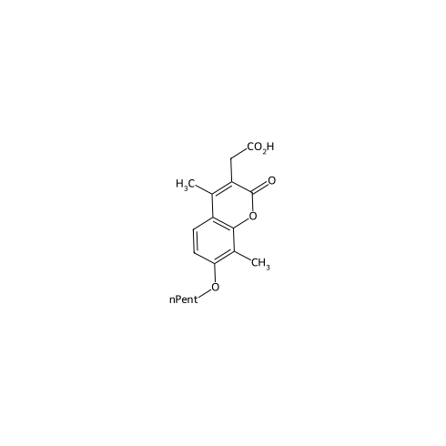 CCCCCOc1ccc2c(C)c(CC(=O)O)c(=O)oc2c1C